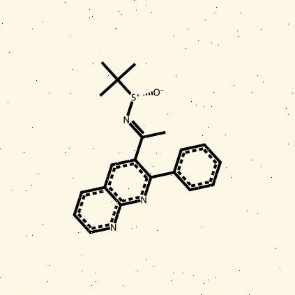 CC(=N[S@@+]([O-])C(C)(C)C)c1cc2cccnc2nc1-c1ccccc1